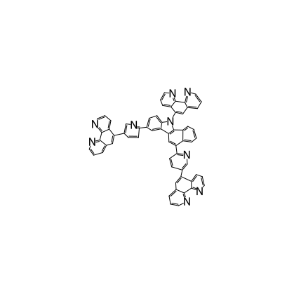 c1cnc2c(c1)cc(-c1ccc(-c3ccc4c(c3)c3cc(-c5ccc(-c6cc7cccnc7c7ncccc67)cn5)c5ccccc5c3n4-c3cc4cccnc4c4ncccc34)nc1)c1cccnc12